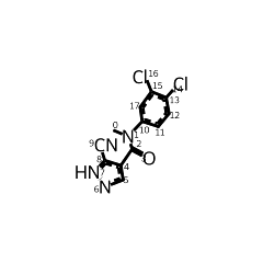 CN(C(=O)c1cn[nH]c1C#N)c1ccc(Cl)c(Cl)c1